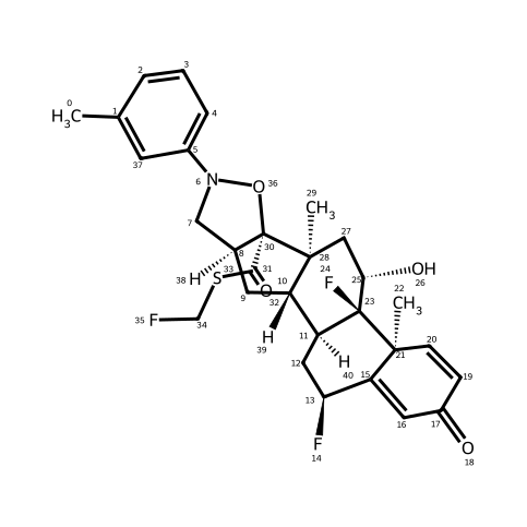 Cc1cccc(N2C[C@@H]3C[C@H]4[C@@H]5C[C@H](F)C6=CC(=O)C=C[C@]6(C)[C@@]5(F)[C@@H](O)C[C@]4(C)[C@]3(C(=O)SCF)O2)c1